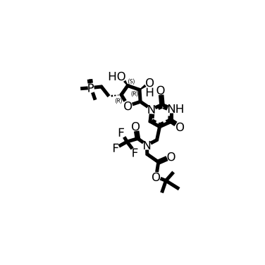 C=P(C)(C)CC[C@H]1OC(n2cc(CN(CC(=O)OC(C)(C)C)C(=O)C(F)(F)F)c(=O)[nH]c2=O)[C@H](O)[C@@H]1O